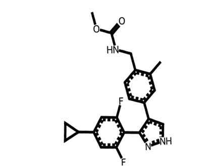 COC(=O)NCc1ccc(-c2c[nH]nc2-c2c(F)cc(C3CC3)cc2F)cc1C